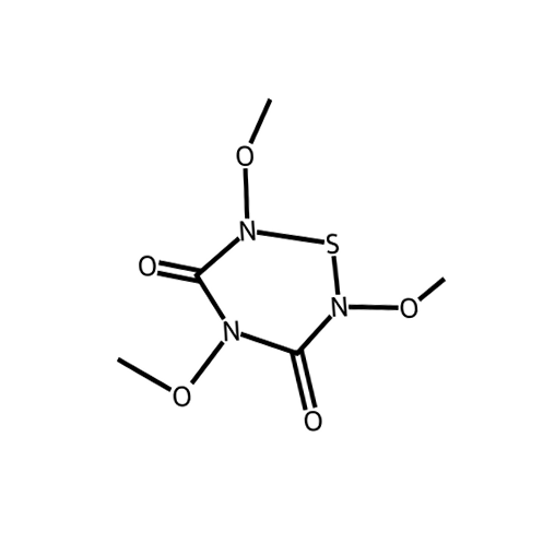 CON1SN(OC)C(=O)N(OC)C1=O